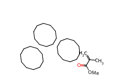 C1CCCCCCCCC1.C1CCCCCCCCC1.C1CCCCCCCCC1.C=C(C)C(=O)OC